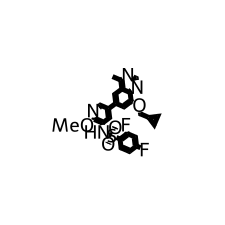 COc1ncc(-c2cc(OCC3CC3)c3ncnc(C)c3c2)cc1NS(=O)(=O)c1ccc(F)cc1F